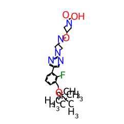 CC(C)(C)[Si](C)(C)OCc1cccc(-c2cnc(N3CC(=NOC4CN(C(=O)O)C4)C3)nc2)c1F